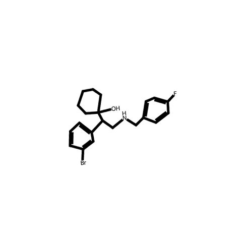 OC1(C(CNCc2ccc(F)cc2)c2cccc(Br)c2)CCCCC1